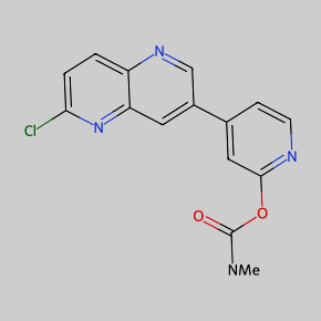 CNC(=O)Oc1cc(-c2cnc3ccc(Cl)nc3c2)ccn1